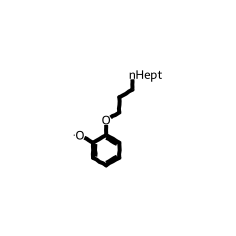 CCCCCCCCCCOc1ccccc1[O]